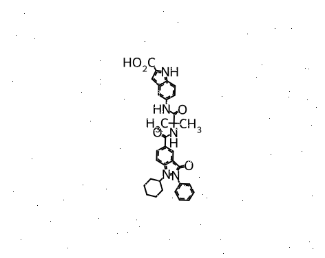 CC(C)(NC(=O)c1ccc2c(c1)c(=O)n(-c1ccccc1)n2C1CCCCC1)C(=O)Nc1ccc2[nH]c(C(=O)O)cc2c1